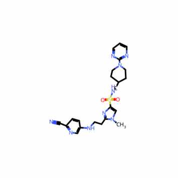 Cn1cc(S(=O)(=O)NCC2CCN(c3ncccn3)CC2)nc1CCNc1ccc(C#N)nc1